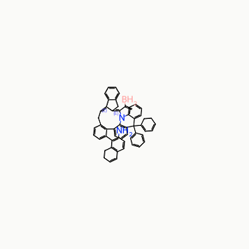 BC(=C)/C1=C2/Cc3ccccc3/C2=C/Cc2cccc(-c3c(N)ccc4c3CCC=C4)c2-c2cccc3c2N1c1ccccc1C3(C1=CC=CCC1)c1ccccc1